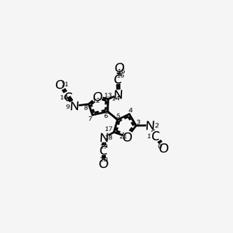 O=C=Nc1cc(-c2cc(N=C=O)oc2N=C=O)c(N=C=O)o1